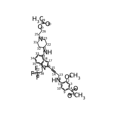 COc1cc(S(C)(=O)=O)ccc1NCC#Cc1cc2c(NC3CCN(CCOC(C)=O)CC3)cccc2n1CC(F)(F)F